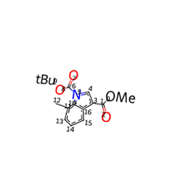 COC(=O)c1cn(C(=O)OC(C)(C)C)c2c(C)cccc12